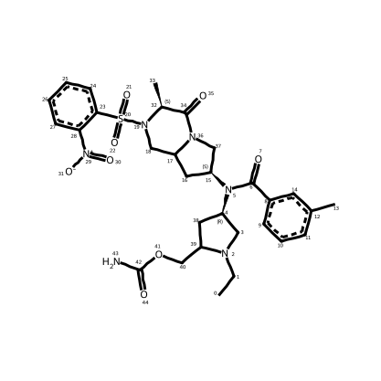 CCN1C[C@H](N(C(=O)c2cccc(C)c2)[C@H]2CC3CN(S(=O)(=O)c4ccccc4[N+](=O)[O-])[C@@H](C)C(=O)N3C2)CC1COC(N)=O